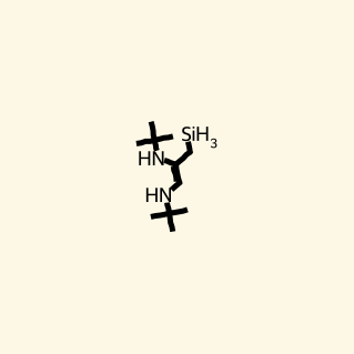 CC(C)(C)NC=C(C[SiH3])NC(C)(C)C